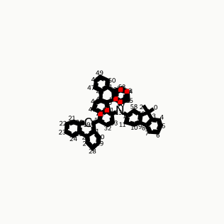 CC1(C)c2ccccc2-c2ccc(N(c3ccc(-c4cc5ccccc5c5ccccc45)cc3)c3ccccc3-c3ccccc3-c3ccccc3-c3ccccc3)cc21